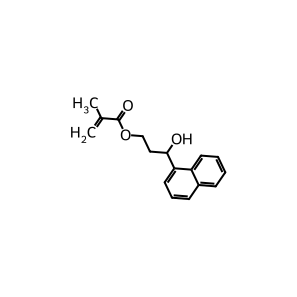 C=C(C)C(=O)OCCC(O)c1cccc2ccccc12